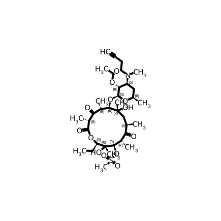 C#CCCN(C)[C@H]1C[C@@H](C)O[C@@H](O[C@@H]2[C@@H](C)C(=O)[C@@H](C)C(=O)O[C@H](CC)[C@@](C)(O)[C@H](OS(C)(=O)=O)[C@@H](C)C(=O)[C@H](C)C[C@@]2(C)O)[C@@H]1OC(C)=O